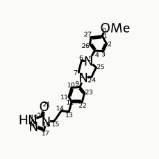 COc1ccc(N2CCN(c3ccc(CCCn4cn[nH]c4=O)cc3)CC2)cc1